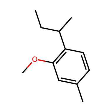 CCC(C)c1ccc(C)cc1OC